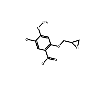 COc1cc(OCC2CO2)c([N+](=O)[O-])cc1Cl